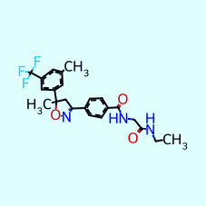 CCNC(=O)CNC(=O)c1ccc(C2=NOC(C)(c3cc(C)cc(C(F)(F)F)c3)C2)cc1